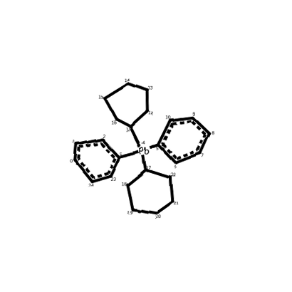 c1cc[c]([Pb]([c]2ccccc2)([CH]2CCCCC2)[CH]2CCCCC2)cc1